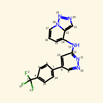 FC(F)(F)c1ccc(-c2cnnc(Nc3cccn4nncc34)c2)cc1